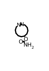 NC(=O)OC1CCCCCN=NCCCC1